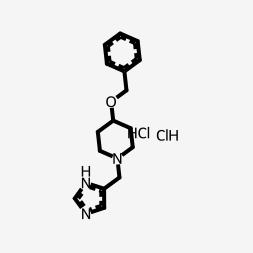 Cl.Cl.c1ccc(COC2CCN(Cc3cnc[nH]3)CC2)cc1